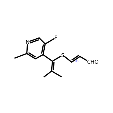 CC(C)=C(S/C=C/C=O)c1cc(C)ncc1F